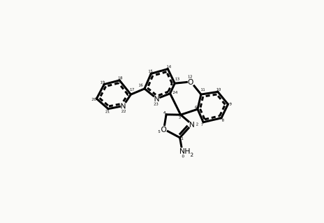 NC1=NC2(CO1)c1ccccc1Oc1ccc(-c3ccccn3)nc12